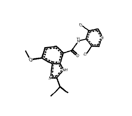 COc1ccc(C(=O)Nc2c(Cl)cncc2Cl)c2[nH]c(C(C)C)nc12